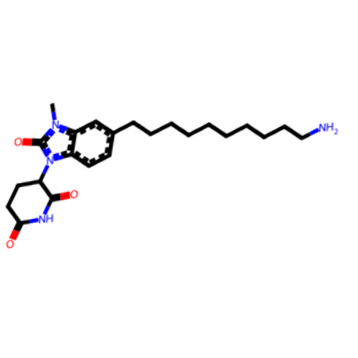 Cn1c(=O)n(C2CCC(=O)NC2=O)c2ccc(CCCCCCCCCCN)cc21